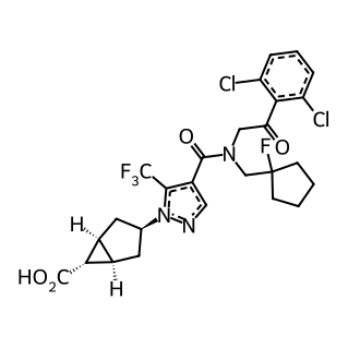 O=C(CN(CC1(F)CCCC1)C(=O)c1cnn([C@H]2C[C@@H]3[C@H](C2)[C@H]3C(=O)O)c1C(F)(F)F)c1c(Cl)cccc1Cl